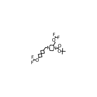 CC(C)(C)OC(=O)N1CCN(CC2CC3(C2)CC(OC(F)F)C3)CC1COC(F)F